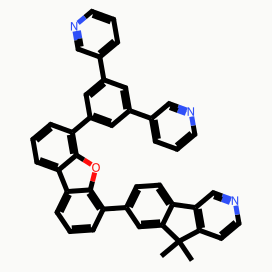 CC1(C)c2ccncc2-c2ccc(-c3cccc4c3oc3c(-c5cc(-c6cccnc6)cc(-c6cccnc6)c5)cccc34)cc21